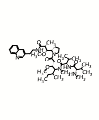 CC[C@H](C)C([C@@H](CC(=O)N1CCC[C@H]1[C@H](OC)[C@@H](C)C(=O)NCCc1cnc2ccccc2c1)OC)N(C)C(=O)[C@@H](NC(=O)[C@@H](NC)C(C)C)C(C)C